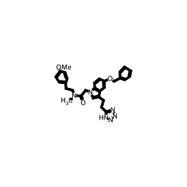 COc1ccc(CCN(C)C(=O)Cn2cc(CCc3nnn[nH]3)c3cc(OCc4ccccc4)ccc32)cc1